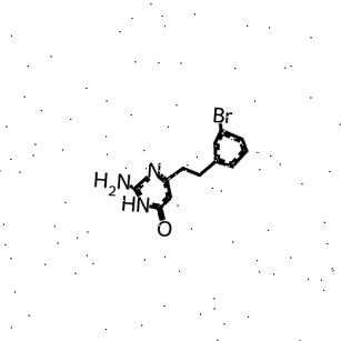 Nc1nc(CCc2cccc(Br)c2)cc(=O)[nH]1